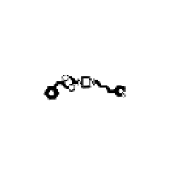 c1ccc(CC2COC(N3CCN(CCCCc4ccsc4)CC3)CO2)cc1